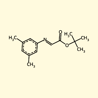 Cc1cc(C)cc(N=CC(=O)OC(C)(C)C)c1